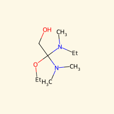 CCOC(CO)(N(C)C)N(C)CC